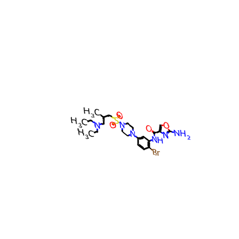 CCN(CC)CC(C)CS(=O)(=O)N1CCN(c2ccc(Br)c(NC(=O)c3coc(N)n3)c2)CC1